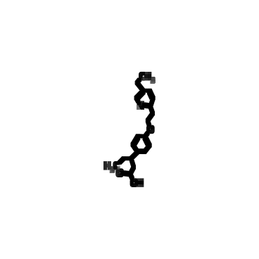 CCc1ccc(CCOc2ccc(C(CC)CC(=O)O)cc2)nc1